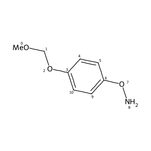 COCOc1ccc(ON)cc1